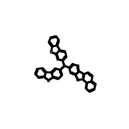 c1ccc2c(c1)ccc1c3ncc(N(c4ccc5c(c4)oc4ccccc45)c4ccc5sc6ccccc6c5c4)cc3oc21